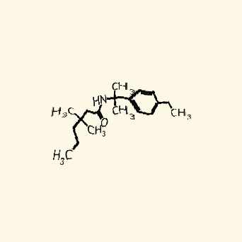 CCCC(C)(C)CC(=O)NC(C)(C)c1ccc(CC)cc1